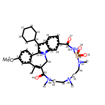 COc1ccc2c(c1)C(C)=C1Cn3c-2c(C2CCCCC2)c2ccc(cc23)C(=O)NS(=O)(=O)N(C)CCN(C)CCN(C)C1=O